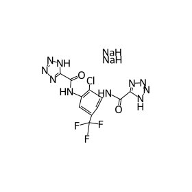 O=C(Nc1cc(C(F)(F)F)cc(NC(=O)c2nnn[nH]2)c1Cl)c1nnn[nH]1.[NaH].[NaH]